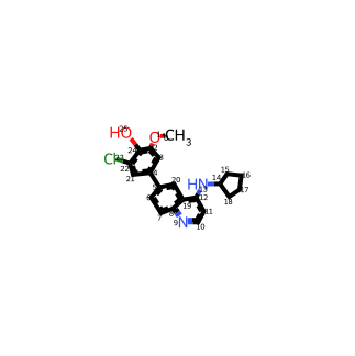 COc1cc(-c2ccc3nc[c]c(NC4CCCC4)c3c2)cc(Cl)c1O